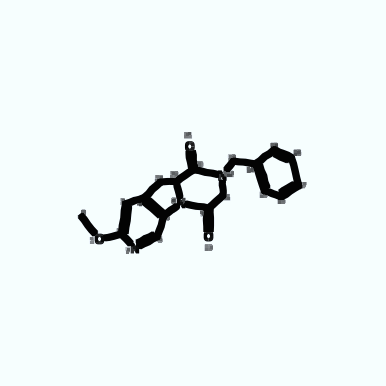 COc1cc2c(cn1)N1C(=O)CN(Cc3ccccc3)C(=O)C1C2